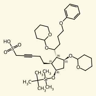 CC(C)(C)[Si](C)(C)O[C@@H]1C[C@H](OC2CCCCO2)[C@@H](C(CCCOc2ccccc2)OC2CCCCO2)[C@@H]1CCC#CCS(=O)(=O)O